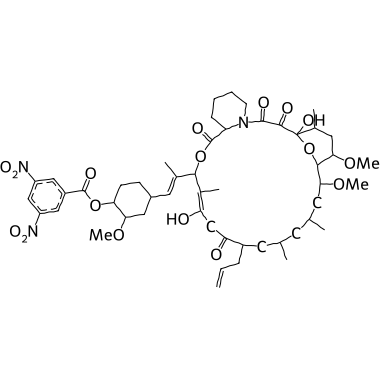 C=CCC1CC(C)CC(C)CC(OC)C2OC(O)(C(=O)C(=O)N3CCCCC3C(=O)OC(C(C)=CC3CCC(OC(=O)c4cc([N+](=O)[O-])cc([N+](=O)[O-])c4)C(OC)C3)/C(C)=C(\O)CC1=O)C(C)CC2OC